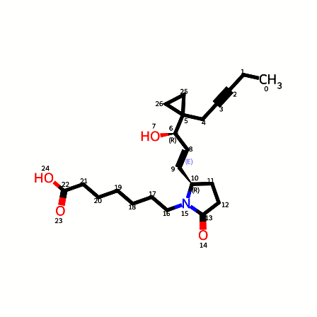 CCC#CCC1([C@H](O)/C=C/[C@H]2CCC(=O)N2CCCCCCC(=O)O)CC1